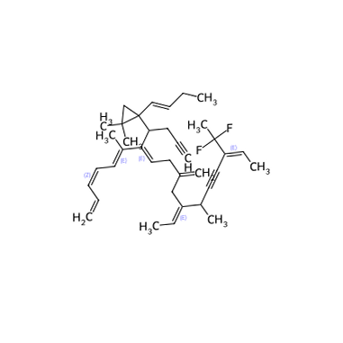 C#CCC(C(=C\CC(=C)C/C(=C\C)C(C)C#C/C(=C\C)C(C)(F)F)/C(C)=C/C=C\C=C)C1(C=CCC)CC1(C)C